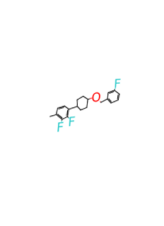 Cc1ccc(C2CCC(OCc3cccc(F)c3)CC2)c(F)c1F